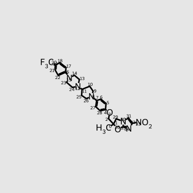 CC1(COc2ccc(N3CCC(N4CCN(c5ccc(C(F)(F)F)cc5)CC4)CC3)cc2)Cn2cc([N+](=O)[O-])nc2O1